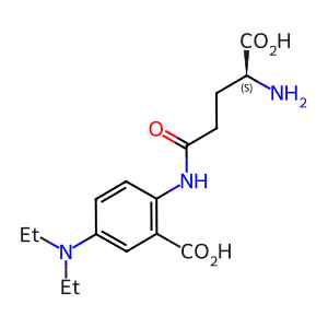 CCN(CC)c1ccc(NC(=O)CC[C@H](N)C(=O)O)c(C(=O)O)c1